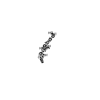 C=CC(=O)Nc1cc(Nc2nc(-c3ccnc(N4CCn5c(cc6c5CC(C)(C)C6)C4=O)c3CO)cn(C)c2=O)ccc1N1CCN(C2CCN(c3ccc(Cl)c(C(C)(C)O)c3)[C@@H](C)C2)C[C@@H]1C